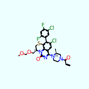 C=CC(=O)N1CCN(c2nc(=O)n3c4c(c(-c5cc(Cl)c(F)cc5F)c(Cl)cc24)SC[C@@H]3COCOC)[C@@H](C)C1